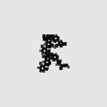 Cc1n[nH]cc1-c1nccc([C@@]23CC[C@@H](c4cc(-c5c(F)ccc(C6C[C@]7(c8ccnc(N9CC(C(N)=O)C9)n8)c8nnc(-c9c(F)cccc9F)cc8[C@H]6C7(C)C)c5F)nnc42)C3(C)C)n1